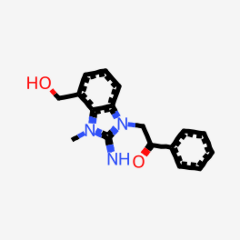 Cn1c(=N)n(CC(=O)c2ccccc2)c2cccc(CO)c21